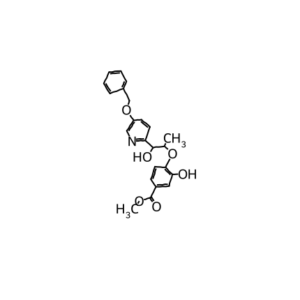 COC(=O)c1ccc(OC(C)C(O)c2ccc(OCc3ccccc3)cn2)c(O)c1